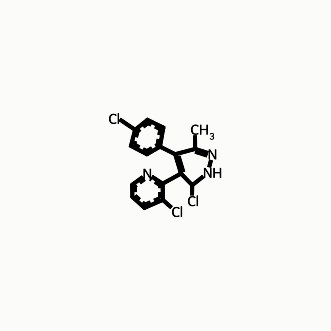 CC1=NNC(Cl)C(c2ncccc2Cl)=C1c1ccc(Cl)cc1